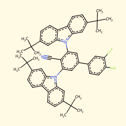 CC(C)(C)c1ccc2c3ccc(C(C)(C)C)cc3n(-c3cc(-c4ccc(F)c(F)c4)cc(-n4c5cc(C(C)(C)C)ccc5c5ccc(C(C)(C)C)cc54)c3C#N)c2c1